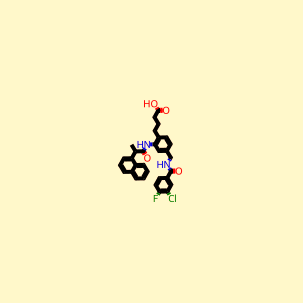 CC(C(=O)Nc1cc(CNC(=O)c2ccc(F)c(Cl)c2)ccc1CCCC(=O)O)c1cccc2ccccc12